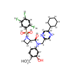 O=C(O)c1ccc(N(Cc2cnc(C3CCCCC3)cn2)C(=O)C2CCN2S(=O)(=O)c2cc(F)c(F)cc2F)cc1O